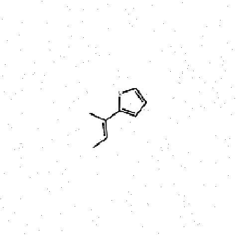 CC=C(C)c1cccs1